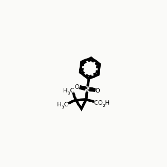 CC1(C)CC1(C(=O)O)S(=O)(=O)c1ccccc1